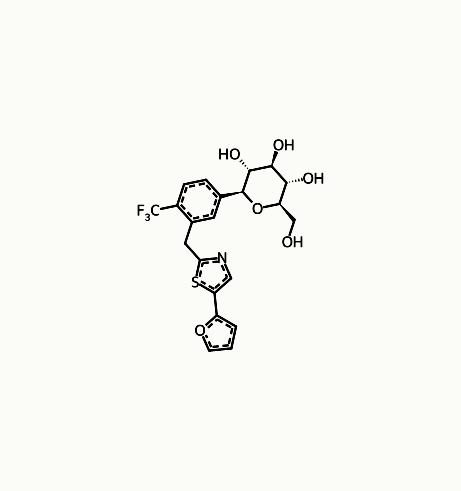 OC[C@H]1O[C@@H](c2ccc(C(F)(F)F)c(Cc3ncc(-c4ccco4)s3)c2)[C@H](O)[C@@H](O)[C@@H]1O